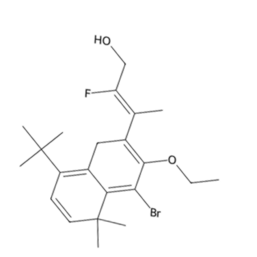 CCOC1=C(C(C)=C(F)CO)CC2=C(C(C)(C)C)C=CC(C)(C)C2=C1Br